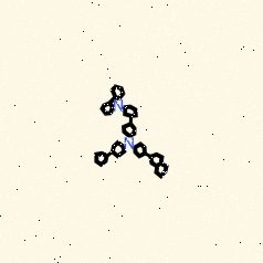 c1ccc(-c2ccc(N(c3ccc(-c4cccc(-n5c6ccccc6c6ccccc65)c4)cc3)c3ccc(-c4ccc5ccccc5c4)cc3)cc2)cc1